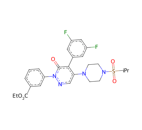 CCOC(=O)c1cccc(-n2ncc(N3CCN(S(=O)(=O)C(C)C)CC3)c(-c3cc(F)cc(F)c3)c2=O)c1